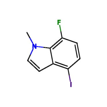 Cn1ccc2c(I)ccc(F)c21